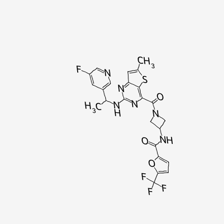 Cc1cc2nc(NC(C)c3cncc(F)c3)nc(C(=O)N3CC(NC(=O)c4ccc(C(F)(F)F)o4)C3)c2s1